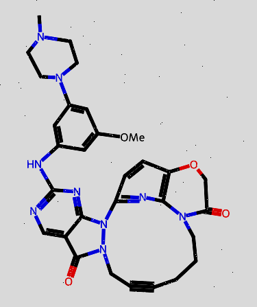 COc1cc(Nc2ncc3c(=O)n4n(c3n2)-c2ccc3c(n2)N(CCCC#CC4)C(=O)CO3)cc(N2CCN(C)CC2)c1